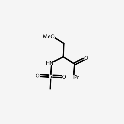 COCC(NS(C)(=O)=O)C(=O)C(C)C